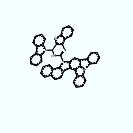 c1ccc2c(c1)ccc1c3c4c5ccccc5n5c6ccccc6c(cc3n(C3=Nc6c(oc7ccccc67)C(n6c7ccccc7c7ccccc76)N3)c21)c45